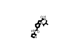 CC1CNC(=O)c2cc3ccc(C(=O)Nc4cccnc4)cc3n2C1C